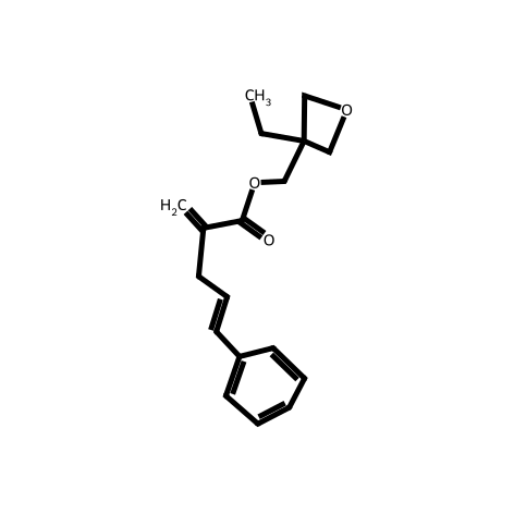 C=C(CC=Cc1ccccc1)C(=O)OCC1(CC)COC1